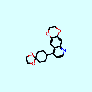 c1cc(C2CCC3(CC2)OCCO3)c2cc3c(cc2n1)OCCO3